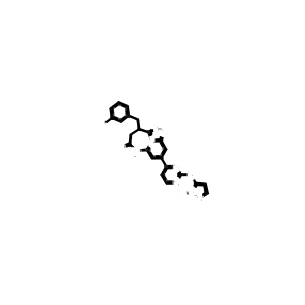 CN1C(=O)CC(Cc2cccc(Cl)c2)c2nnc3cc(-c4ccnc(Nc5ccnn5C)n4)cc1n23